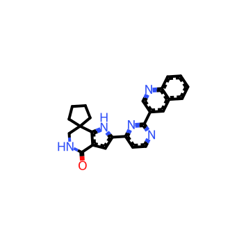 O=C1NCC2(CCCC2)c2[nH]c(-c3ccnc(-c4cnc5ccccc5c4)n3)cc21